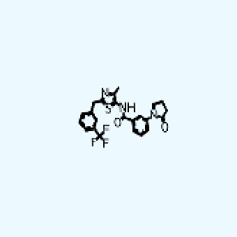 Cc1nc(Cc2cccc(C(F)(F)F)c2)sc1NC(=O)c1cccc(N2CCCC2=O)c1